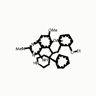 CCOc1ccccc1CC(c1c(OC)c(OC)cc2nc(NC)nc(N)c12)C1(c2ccccc2)CCNCC1